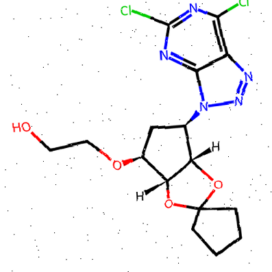 OCCO[C@H]1C[C@@H](n2nnc3c(Cl)nc(Cl)nc32)[C@@H]2OC3(CCCC3)O[C@@H]21